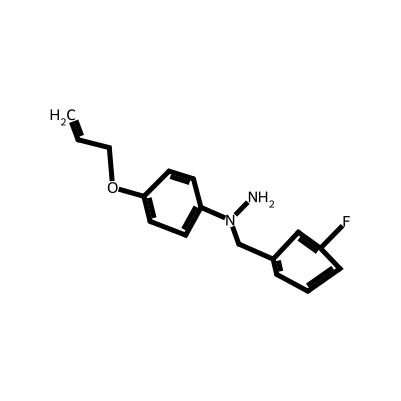 C=CCOc1ccc(N(N)Cc2cccc(F)c2)cc1